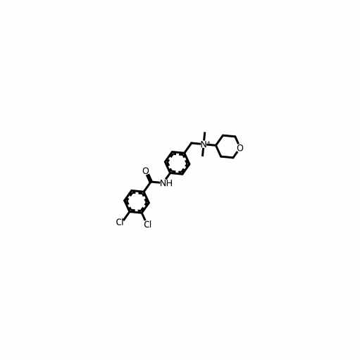 C[N+](C)(Cc1ccc(NC(=O)c2ccc(Cl)c(Cl)c2)cc1)C1CCOCC1